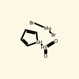 O=[SH](=O)[SH]1C=CC=C1.[Br][Mg][Br]